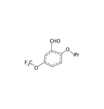 CC(C)Oc1ccc(OC(F)(F)F)cc1C=O